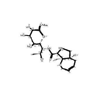 CSC1O[C@H]([C@H](NC(=O)[C@H]2NC[C@H]3CC=CCO[C@H]32)[C@H](C)Cl)C(O)C(O)[C@H]1O